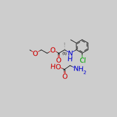 COCCOC(=O)[C@H](C)Nc1c(C)cccc1Cl.NCC(=O)O